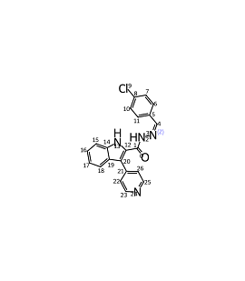 O=C(N/N=C\c1ccc(Cl)cc1)c1[nH]c2ccccc2c1-c1ccncc1